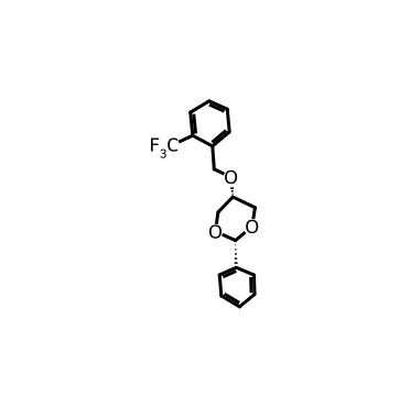 FC(F)(F)c1ccccc1CO[C@H]1CO[C@@H](c2ccccc2)OC1